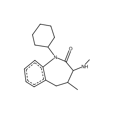 CNC1C(=O)N(C2CCCCC2)c2ccccc2CC1C